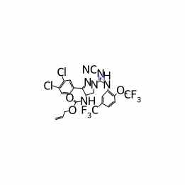 C=CCOC(=O)NC1CN(/C(=N\C#N)Nc2cc(C(F)(F)F)ccc2OC(F)(F)F)N=C1c1ccc(Cl)c(Cl)c1